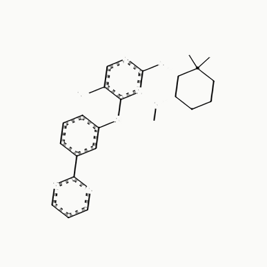 N#Cc1cnc(N[C@H]2[C@@H](NC(=O)O)CCCC2(F)F)nc1Nc1cccc(-c2ncccn2)c1